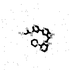 CCC(=O)Nc1cncc(-c2cc3c(-c4nc5c(N6CCCCC6)nccc5[nH]4)n[nH]c3cn2)c1